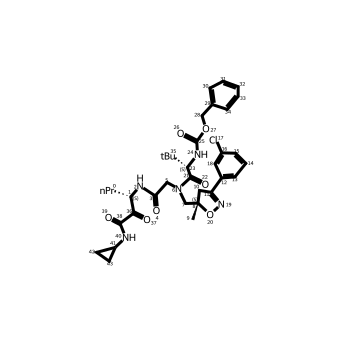 CCC[C@H](NC(=O)CN(C[C@]1(C)CC(c2cccc(Cl)c2)=NO1)C(=O)[C@@H](NC(=O)OCc1ccccc1)C(C)(C)C)C(=O)C(=O)NC1CC1